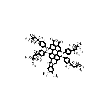 Cc1cc2nc3n(c2cc1C)Cc1cc(Oc2ccc(C(C)(C)CC(C)(C)C)cc2)c2c4c(Oc5ccc(C(C)(C)CC(C)(C)C)cc5)cc5c6c(cc(Oc7ccc(C(C)(C)CC(C)(C)C)cc7)c(c7c(Oc8ccc(C(C)(C)CC(C)(C)C)cc8)cc-3c1c27)c64)C(=O)OC5=O